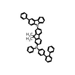 CC1(C)c2cc(N(c3ccccc3)c3ccc(-c4ccccc4-c4ccccc4)cc3)ccc2-c2ccc(-n3c4ccccc4c4cc(-c5ccccc5)ccc43)cc21